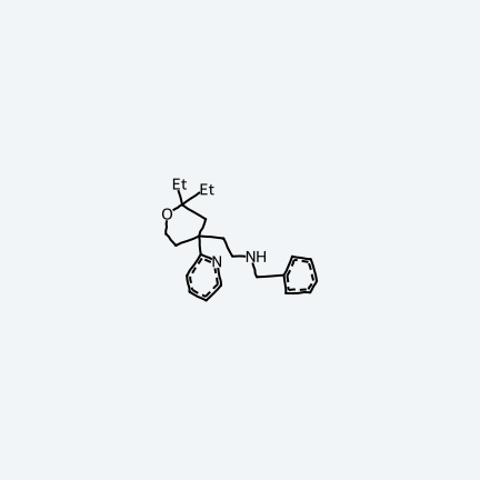 CCC1(CC)CC(CCNCc2ccccc2)(c2ccccn2)CCO1